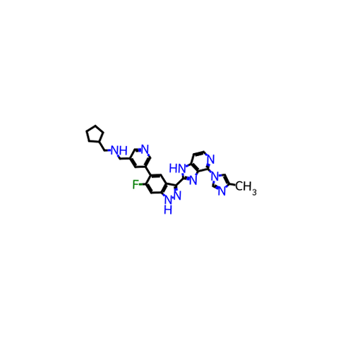 Cc1cn(-c2nccc3[nH]c(-c4n[nH]c5cc(F)c(-c6cncc(CNCC7CCCC7)c6)cc45)nc23)cn1